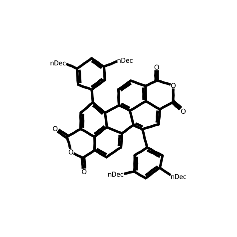 CCCCCCCCCCc1cc(CCCCCCCCCC)cc(-c2cc3c4c(ccc5c6c(-c7cc(CCCCCCCCCC)cc(CCCCCCCCCC)c7)cc7c8c(ccc(c2c45)c86)C(=O)OC7=O)C(=O)OC3=O)c1